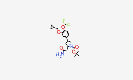 CC(C)(C)OC(=O)N1CC(c2ccc(OC(F)F)c(OCC3CC3)c2)CC1CC(N)=O